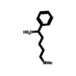 CC(=O)NCCCCC(C(=O)O)c1ccccc1